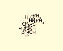 CCC(CCNc1nc2ccccc2c(C)c1C(=N)NC(C)O)NCC(C)C